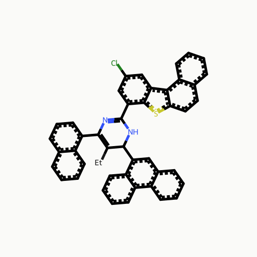 CCC1=C(c2cccc3ccccc23)N=C(c2cc(Cl)cc3c2sc2ccc4ccccc4c23)NC1c1cc2ccccc2c2ccccc12